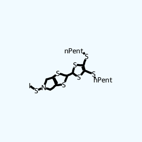 CCCCCSC1=C(SCCCCC)SC(C2SC3=C(CN(SI)C3)S2)S1